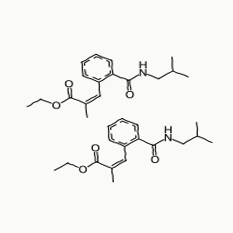 CCOC(=O)C(C)=Cc1ccccc1C(=O)NCC(C)C.CCOC(=O)C(C)=Cc1ccccc1C(=O)NCC(C)C